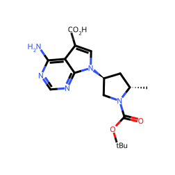 C[C@H]1C[C@H](n2cc(C(=O)O)c3c(N)ncnc32)CN1C(=O)OC(C)(C)C